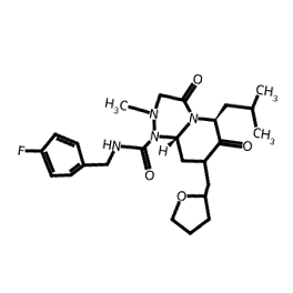 CC(C)C[C@H]1C(=O)C(CC2CCCO2)C[C@H]2N1C(=O)CN(C)N2C(=O)NCc1ccc(F)cc1